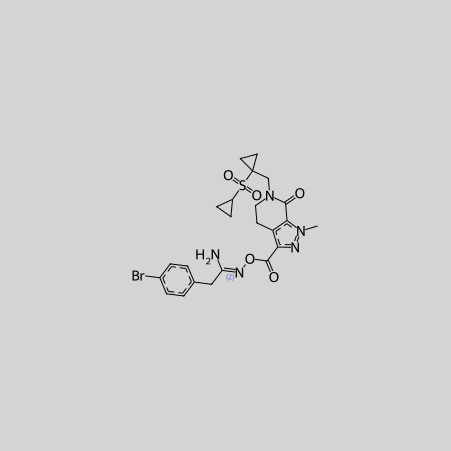 Cn1nc(C(=O)O/N=C(\N)Cc2ccc(Br)cc2)c2c1C(=O)N(CC1(S(=O)(=O)C3CC3)CC1)CC2